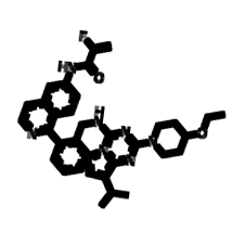 C=C(F)C(=O)Nc1ccc2c(-c3ccccc3CNc3nc(N4CCC(OCC)CC4)nc4c(C(C)C)cnn34)nccc2c1